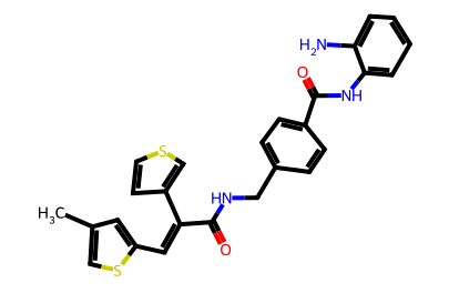 Cc1csc(C=C(C(=O)NCc2ccc(C(=O)Nc3ccccc3N)cc2)c2ccsc2)c1